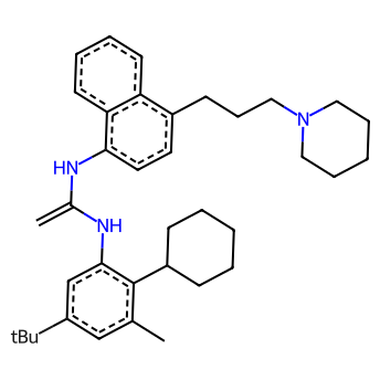 C=C(Nc1cc(C(C)(C)C)cc(C)c1C1CCCCC1)Nc1ccc(CCCN2CCCCC2)c2ccccc12